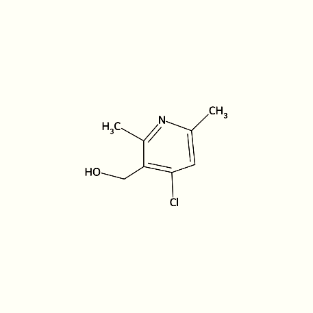 Cc1cc(Cl)c(CO)c(C)n1